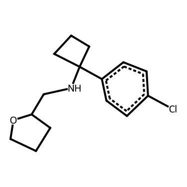 Clc1ccc(C2(NCC3CCCO3)CCC2)cc1